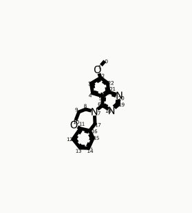 COc1ccc2c(N3CCOc4cc[c]cc4C3)ncnc2c1